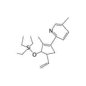 C=CC1CC(c2ccc(C)cn2)=C(C)C1O[Si](CC)(CC)CC